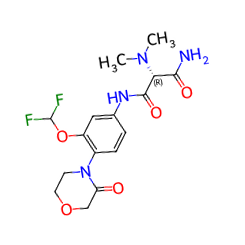 CN(C)[C@H](C(N)=O)C(=O)Nc1ccc(N2CCOCC2=O)c(OC(F)F)c1